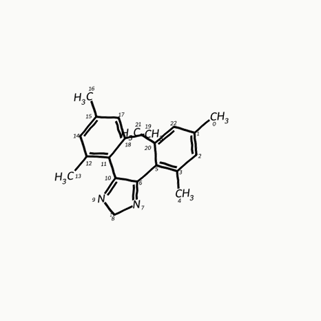 Cc1cc(C)c(C2=N[C]N=C2c2c(C)cc(C)cc2C)c(C)c1